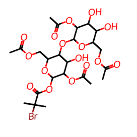 CC(=O)OCC1OC(OC2C(COC(C)=O)OC(OC(=O)C(C)(C)Br)C(OC(C)=O)C2O)C(OC(C)=O)C(O)C1O